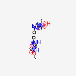 C=CCCOC(=O)N[C@H](C(=O)N1CCC[C@H]1c1ncc(-c2ccc(-c3ccc(-c4cnc([C@@H]5CCCN5C(=O)[C@H](C(C)C)N(CCC=C)C(=O)O)[nH]4)cc3)cc2)[nH]1)C(C)C